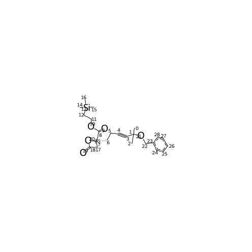 CC(C)(C#CCC[C@]1(C(=O)OCC[Si](C)(C)C)CC(=O)O1)OCc1ccccc1